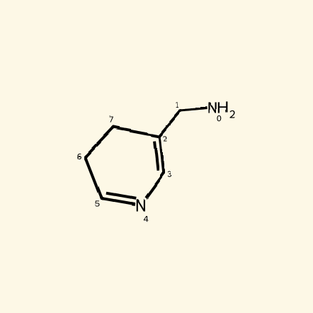 NCC1=CN=CCC1